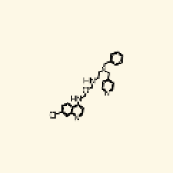 Clc1ccc2c(NCOCNCCN(Cc3ccccc3)Cc3ccncc3)ccnc2c1